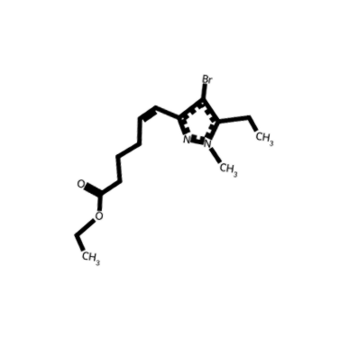 CCOC(=O)CCC/C=C\c1nn(C)c(CC)c1Br